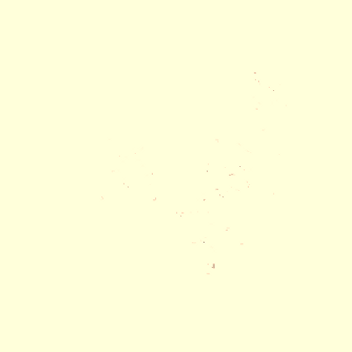 CCOn1cc(O)c(=O)cc1CO/N=C(\C(=O)N[C@@H]1C(=O)N2C(C(=O)O)=C(CSc3cnns3)CS[C@H]12)c1csc(N)n1